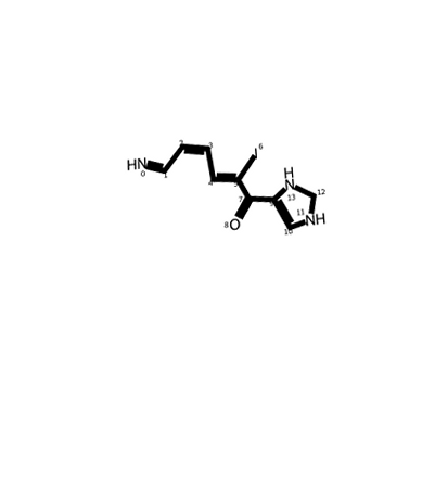 N=C/C=C\C=C(/I)C(=O)C1=CNCN1